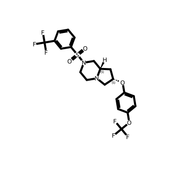 O=S(=O)(c1cccc(C(F)(F)F)c1)N1CCN2C[C@@H](Oc3ccc(OC(F)(F)F)cc3)C[C@H]2C1